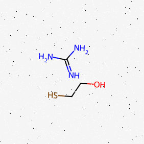 N=C(N)N.OCCS